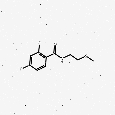 CSCCNC(=O)c1ccc(F)cc1F